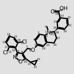 CN1c2ccc(OCc3c(-c4c(Cl)cccc4Cl)noc3C3CC3)cc2CC[C@@H]1c1cccc(C(=O)O)c1